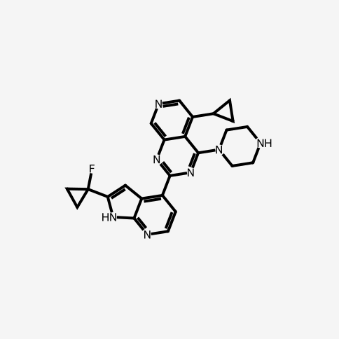 FC1(c2cc3c(-c4nc(N5CCNCC5)c5c(C6CC6)cncc5n4)ccnc3[nH]2)CC1